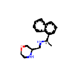 C[C@@H](NCC1COCCN1)c1cccc2ccccc12